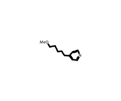 COCCCCCc1ccncc1